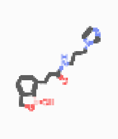 O=C(CCc1cccc2c1B(O)OC2)NCCCn1ccnc1